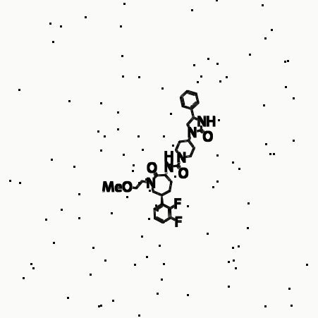 COCCN1C[C@H](c2cccc(F)c2F)CC[C@@H](NC(=O)N2CCC(N3CC(c4ccccc4)NC3=O)CC2)C1=O